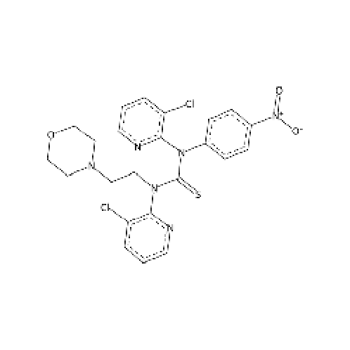 O=[N+]([O-])c1ccc(N(C(=S)N(CCN2CCOCC2)c2ncccc2Cl)c2ncccc2Cl)cc1